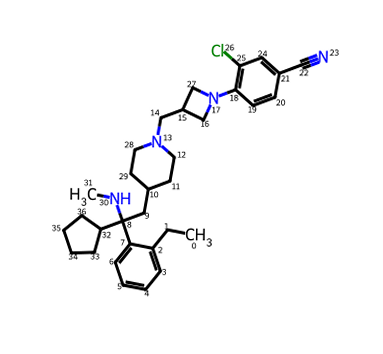 CCc1ccccc1C(CC1CCN(CC2CN(c3ccc(C#N)cc3Cl)C2)CC1)(NC)C1CCCC1